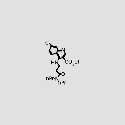 CCCN(CCC)C(=O)CCNc1c(C(=O)OCC)cnc2cc(Cl)ccc12